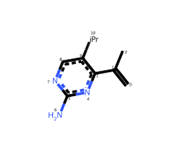 C=C(C)c1nc(N)ncc1C(C)C